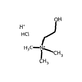 C[N+](C)(C)CCO.Cl.[H+]